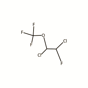 FC(Cl)C(Cl)OC(F)(F)F